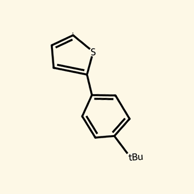 CC(C)(C)c1ccc(-c2cc[c]s2)cc1